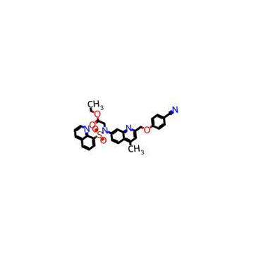 CCOC(=O)CN(c1ccc2c(C)cc(COc3ccc(C#N)cc3)nc2c1)S(=O)(=O)c1cccc2cccnc12